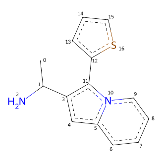 CC(N)c1cc2ccccn2c1-c1cccs1